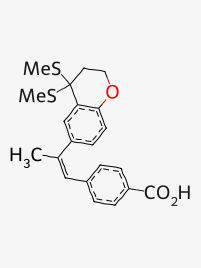 CSC1(SC)CCOc2ccc(/C(C)=C\c3ccc(C(=O)O)cc3)cc21